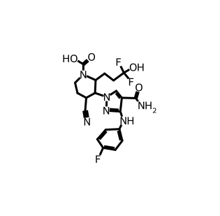 N#CC1CCN(C(=O)O)C(CCC(O)(F)F)C1n1cc(C(N)=O)c(Nc2ccc(F)cc2)n1